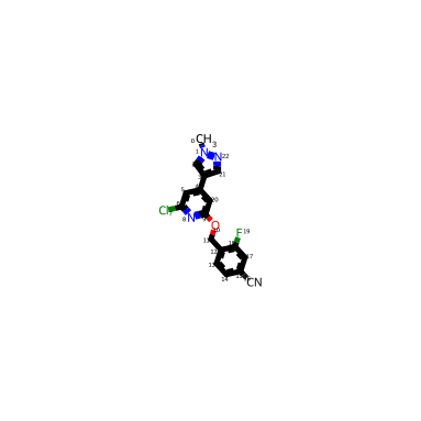 Cn1cc(-c2cc(Cl)nc(OCc3ccc(C#N)cc3F)c2)cn1